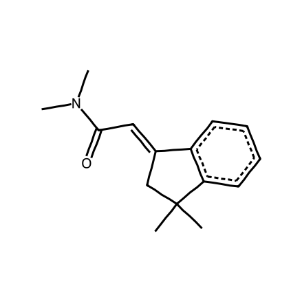 CN(C)C(=O)C=C1CC(C)(C)c2ccccc21